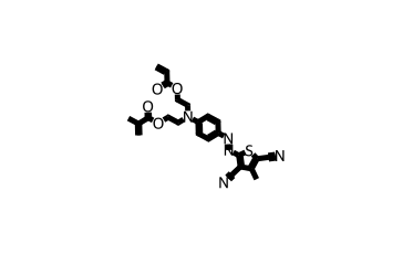 C=CC(=O)OCCN(CCOC(=O)C(=C)C)c1ccc(N=Nc2sc(C#N)c(C)c2C#N)cc1